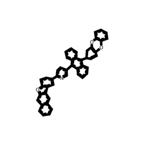 C1=CC(c2c3ccccc3c(-c3ccc(-c4ccc5oc6cc7ccccc7cc6c5c4)nc3)c3ccccc23)CC2=C1Oc1ccccc1O2